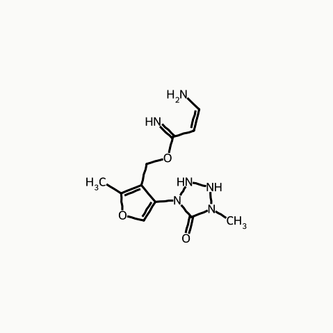 Cc1occ(N2NNN(C)C2=O)c1COC(=N)/C=C\N